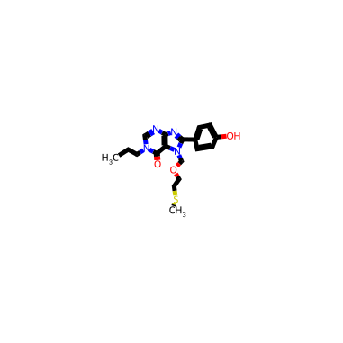 CCCn1cnc2nc(-c3ccc(O)cc3)n(COCCSC)c2c1=O